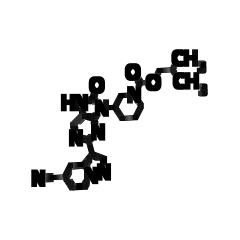 CC(C)COC(=O)N1CCCC(n2c(=O)[nH]c3cnc(-c4cnn5ccc(C#N)cc45)nc32)C1